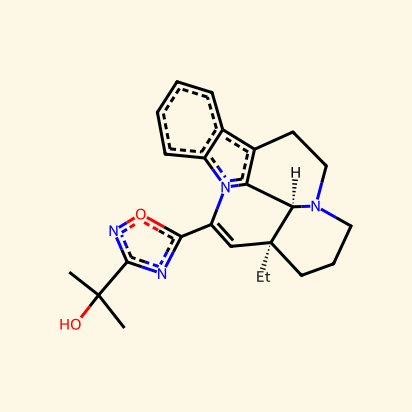 CC[C@@]12C=C(c3nc(C(C)(C)O)no3)n3c4c(c5ccccc53)CCN(CCC1)[C@H]42